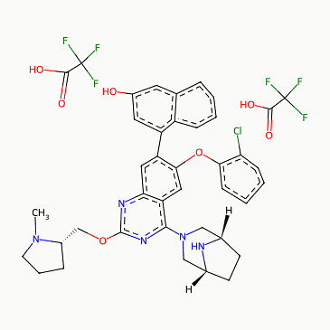 CN1CCC[C@H]1COc1nc(N2C[C@H]3CC[C@@H](C2)N3)c2cc(Oc3ccccc3Cl)c(-c3cc(O)cc4ccccc34)cc2n1.O=C(O)C(F)(F)F.O=C(O)C(F)(F)F